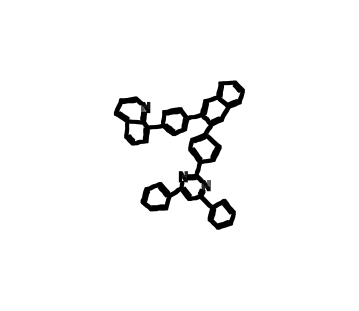 c1ccc(-c2cc(-c3ccccc3)nc(-c3ccc(-c4cc5ccccc5cc4-c4ccc(-c5cccc6cccnc56)cc4)cc3)n2)cc1